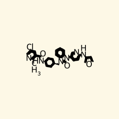 Cc1ncc(Cl)cc1C(=O)N[C@H]1CC[C@H](Cn2c(=O)n(-c3ccc(N[C@H]4CCOC4)nc3)c3ccccc32)CC1